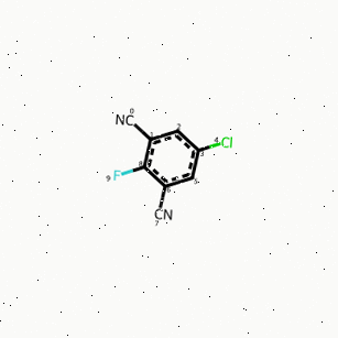 N#Cc1cc(Cl)cc(C#N)c1F